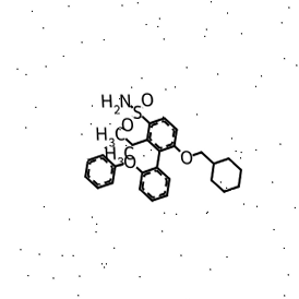 CC(C)c1c(S(N)(=O)=O)ccc(OCC2CCCCC2)c1-c1ccccc1Oc1ccccc1